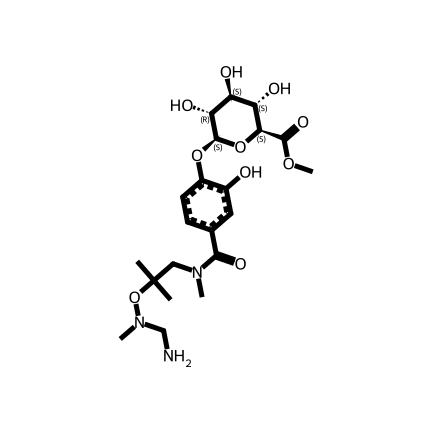 COC(=O)[C@H]1O[C@@H](Oc2ccc(C(=O)N(C)CC(C)(C)ON(C)CN)cc2O)[C@H](O)[C@@H](O)[C@@H]1O